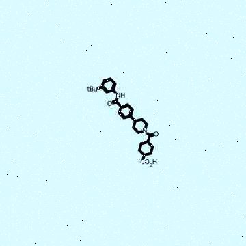 CC(C)(C)c1cccc(NC(=O)c2ccc(C3CCN(C(=O)C4CCC(C(=O)O)CC4)CC3)cc2)c1